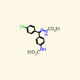 CCOC(=O)NN=C(c1ccc(Cl)cc1)c1ccc(NC(=O)OCC)cc1